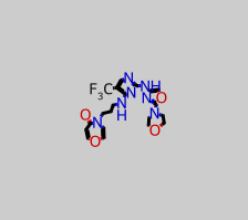 O=C1C=COC=CN1CCCNc1nc(Nc2coc(N3CCOCC3)n2)ncc1C(F)(F)F